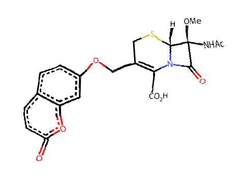 CO[C@@]1(NC(C)=O)C(=O)N2C(C(=O)O)=C(COc3ccc4ccc(=O)oc4c3)CS[C@@H]21